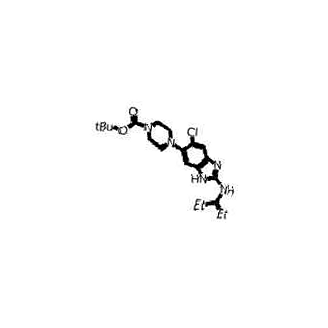 CCC(CC)Nc1nc2cc(Cl)c(N3CCN(C(=O)OC(C)(C)C)CC3)cc2[nH]1